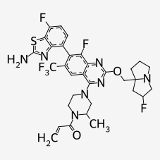 C=CC(=O)N1CCN(c2nc(OCC34CCCN3CC(F)C4)nc3c(F)c(-c4ccc(F)c5sc(N)nc45)c(C(F)(F)F)cc23)CC1C